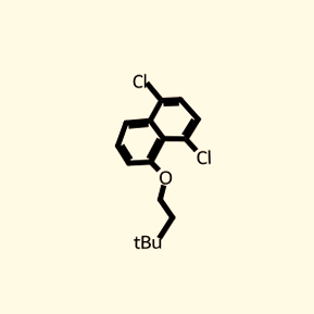 CC(C)(C)CCOc1cccc2c(Cl)ccc(Cl)c12